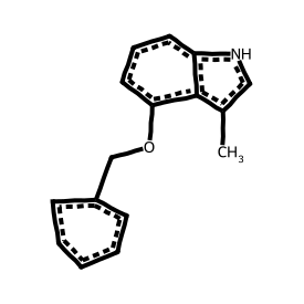 Cc1c[nH]c2cccc(OCc3ccccc3)c12